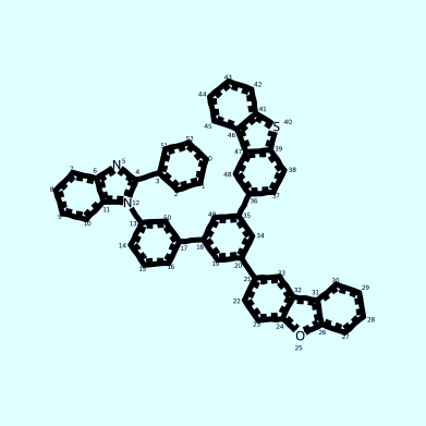 c1ccc(-c2nc3ccccc3n2-c2cccc(-c3cc(-c4ccc5oc6ccccc6c5c4)cc(-c4ccc5sc6ccccc6c5c4)c3)c2)cc1